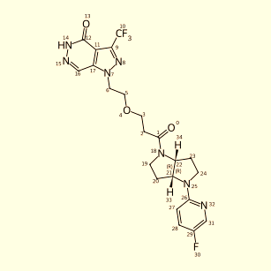 O=C(CCOCCn1nc(C(F)(F)F)c2c(=O)[nH]ncc21)N1CC[C@@H]2[C@H]1CCN2c1ccc(F)cn1